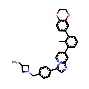 Cc1c(-c2ccc3c(c2)OCCO3)cccc1-c1ccn2c(-c3ccc(CN4CC(C(=O)O)C4)cc3)cnc2c1